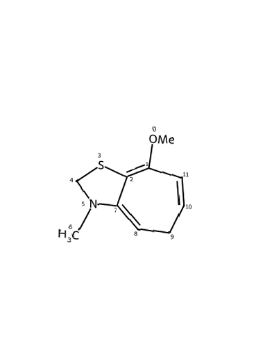 COC1=C2SCN(C)C2=CCC=C1